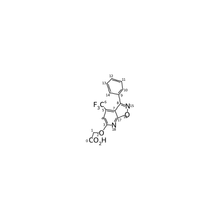 O=C(O)COc1cc(C(F)(F)F)c2c(-c3ccccc3)noc2n1